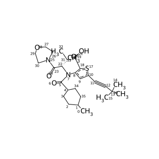 CC1CCC(C(=O)N(c2cc(C#CC(C)(C)C)sc2C(=O)O)[C@H](C(=O)N2CCOCC2)C(C)C)CC1